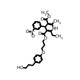 CCC1=C(C(=O)OCCCOc2ccc(CCCO)cc2)C(c2cccc([N+](=O)[O-])c2)C(C(=O)OC)=C(C)N1